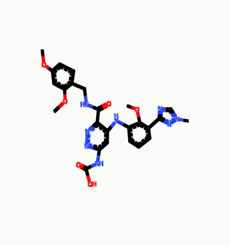 COc1ccc(CNC(=O)c2nnc(NC(=O)O)cc2Nc2cccc(-c3ncn(C)n3)c2OC)c(OC)c1